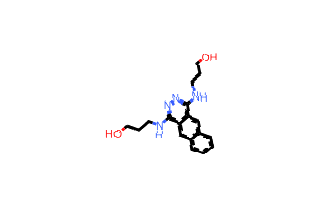 OCCCNc1nnc(NCCCO)c2cc3ccccc3cc12